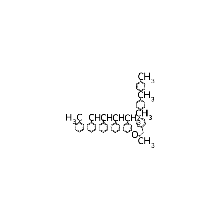 CC(=O)Cc1ccc(C)cc1.Cc1ccccc1.Cc1ccccc1.Cc1ccccc1.Cc1ccccc1.Cc1ccccc1.Cc1ccccc1.Cc1ccccc1